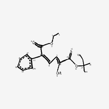 CCOC(=O)C(=CC=C(O)C(=S)OC(C)(C)C)c1ccccc1